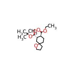 CCOC(=O)[C@H]1CCC2(CCCO2)C[C@@H]1C(=O)OC(C)(C)C